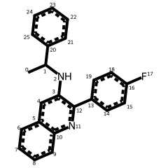 CC(Nc1cc2ccccc2nc1-c1ccc(F)cc1)c1ccccc1